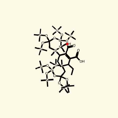 CCC(C(C(=O)O)=C(C(=O)O)C(CC)[Si]1(C)CC(O[Si](C)(C)C)(O[Si](C)(C)C)O[Si](O[Si](C)(C)C)(O[Si](C)(C)C)[Si]1(C)C)[Si]1(C)CC(O[Si](C)(C)C)(O[Si](C)(C)C)O[Si](O[Si](C)(C)C)(O[Si](C)(C)C)[Si]1(C)C